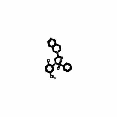 Cc1ccc(Cl)c(N(CC(=O)N2CCc3cnccc3C2)S(=O)(=O)c2ccccc2)c1